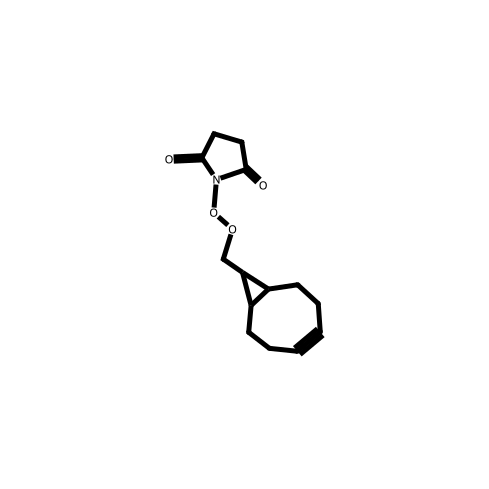 O=C1CCC(=O)N1OOCC1C2CCC#CCCC21